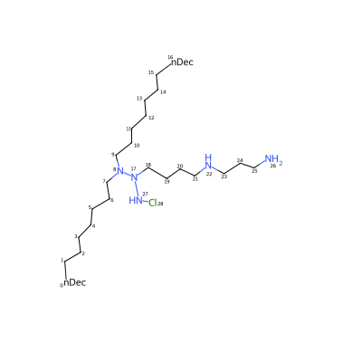 CCCCCCCCCCCCCCCCCN(CCCCCCCCCCCCCCCCC)N(CCCCNCCCN)NCl